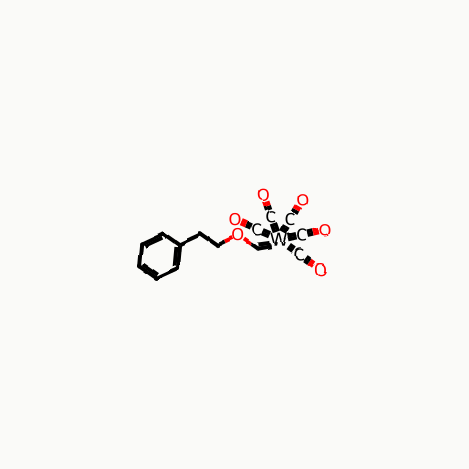 O=[C]=[W](=[C]=O)(=[C]=O)(=[C]=O)(=[C]=O)=[CH]OCCc1ccccc1